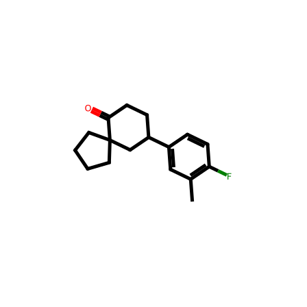 Cc1cc(C2CCC(=O)C3(CCCC3)C2)ccc1F